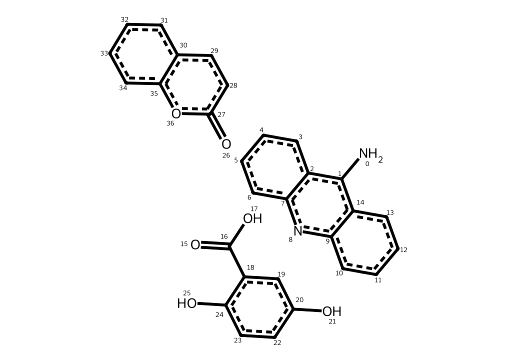 Nc1c2ccccc2nc2ccccc12.O=C(O)c1cc(O)ccc1O.O=c1ccc2ccccc2o1